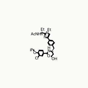 CC[C@@H](NC(C)=O)c1nc(-c2ccc(C[C@@H](CCO)NC(=O)c3ccc(OC(C)C)c(Cl)c3)cc2)cn1CC